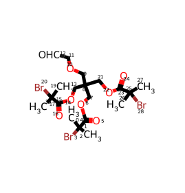 CC(C)(Br)C(=O)OCC(COCC=O)(COC(=O)C(C)(C)Br)COC(=O)C(C)(C)Br